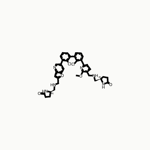 COc1nc(-c2cccc(-c3cccc(-c4cnc5cc(CNC[C@H]6CCC(=O)N6)oc5c4)c3Cl)c2Cl)ccc1CNC[C@H]1CCC(=O)N1